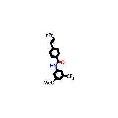 CCC/C=C/c1ccc(C(=O)Nc2cc(OC)cc(C(F)(F)F)c2)cc1